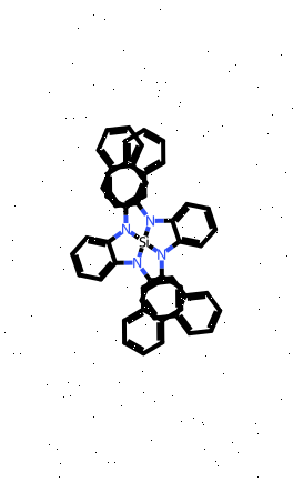 c1ccc2c(c1)N(c1ccc3ccccc3c1)[Si]1(N2c2ccc3ccccc3c2)N(c2ccc3ccccc3c2)c2ccccc2N1c1ccc2ccccc2c1